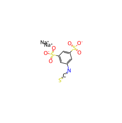 O=S(=O)([O-])c1cc(N=C=S)cc(S(=O)(=O)[O-])c1.[Na+].[Na+]